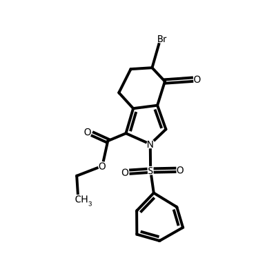 CCOC(=O)c1c2c(cn1S(=O)(=O)c1ccccc1)C(=O)C(Br)CC2